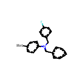 CSc1ccc(N(Cc2ccccc2)Cc2ccc(F)cc2)cc1